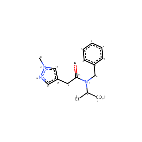 CCC(C(=O)O)N(Cc1ccccc1)C(=O)Cc1cnn(C)c1